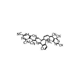 N#C/C(c1c(C#N)nc(C#N)nc1C#N)=c1/ccc2c3cc/c(=C(\C#N)c4c(C#N)nc(C#N)nc4C#N)nc3c3ccoc3c2n1